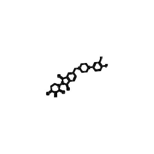 O=C1CCN(N2C(=O)c3ccc(CN4CCN(c5ccc(F)c(F)c5)CC4)cc3C2=O)C(=O)N1